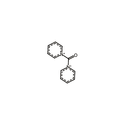 O=C([n+]1ccccc1)[n+]1ccccc1